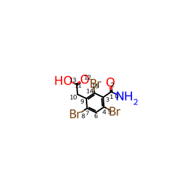 NC(=O)c1c(Br)cc(Br)c(CC(=O)O)c1Br